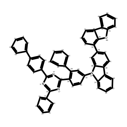 c1ccc(-c2ccc(-c3nc(-c4ccccc4)nc(-c4ccc(-n5c6ccccc6c6ccc(-c7cccc8c7oc7ccccc78)cc65)cc4-c4ccccc4)n3)cc2)cc1